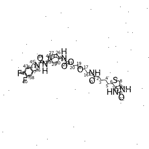 O=C(CCCCC1SCC2NC(=O)NC21)NCCOCCOC(=O)NC12CC3CC(C1)C(NC(=O)N1Cc4cc(F)c(F)cc4C1)(C3)C2